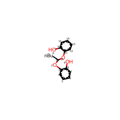 CCCCC(Oc1ccccc1O)Oc1ccccc1O